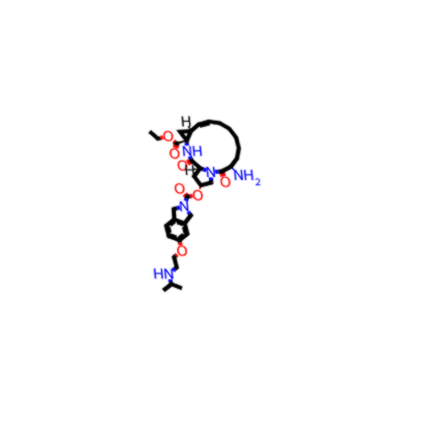 CCOC(=O)[C@@]12C[C@H]1/C=C\CCCCC[C@H](N)C(=O)N1C[C@H](OC(=O)N3Cc4ccc(OCCNC(C)C)cc4C3)C[C@H]1C(=O)N2